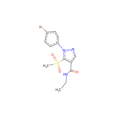 CCNC(=O)c1cnn(-c2ccc(Br)cc2)c1S(C)(=O)=O